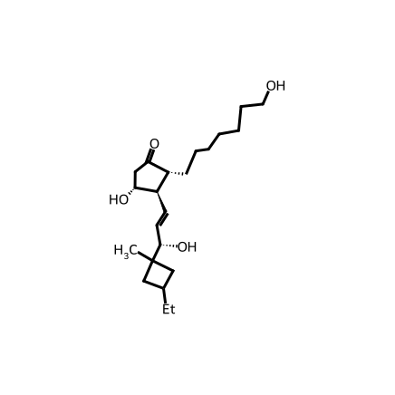 CCC1CC(C)([C@@H](O)/C=C/[C@H]2[C@H](O)CC(=O)[C@@H]2CCCCCCCO)C1